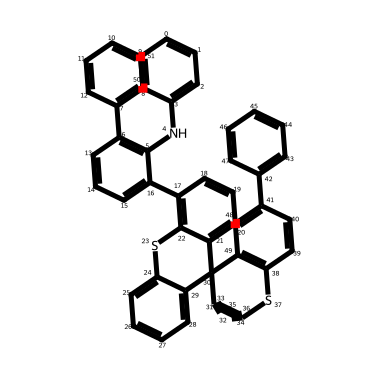 c1ccc(Nc2c(-c3ccccc3)cccc2-c2cccc3c2Sc2ccccc2C32c3ccccc3Sc3ccc(-c4ccccc4)cc32)cc1